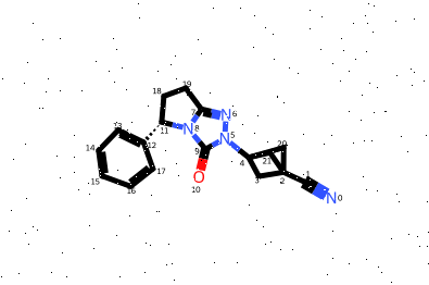 N#CC12CC(n3nc4n(c3=O)[C@H](c3ccccc3)CC4)(C1)C2